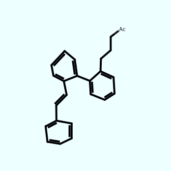 CC(=O)CCCc1ccccc1-c1ccccc1C=Cc1ccccc1